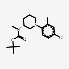 Cc1cc(Cl)ccc1N1CCC[C@@H](N(C)C(=O)OC(C)(C)C)C1